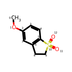 COc1ccc2c(c1)CCS2(=O)=O